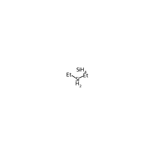 CC[SiH2]CC.[SiH4]